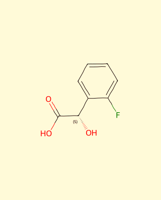 O=C(O)[C@@H](O)c1ccccc1F